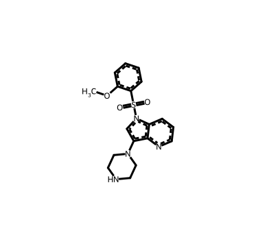 COc1ccccc1S(=O)(=O)n1cc(N2CCNCC2)c2ncccc21